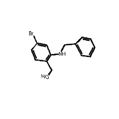 OCc1ccc(Br)cc1NCc1ccccc1